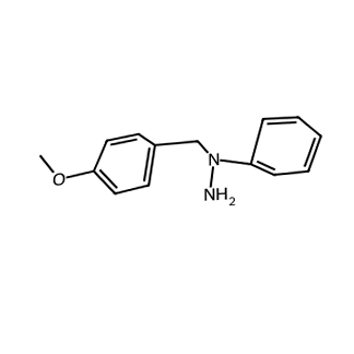 COc1ccc(CN(N)c2ccccc2)cc1